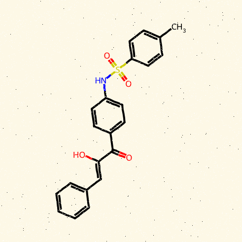 Cc1ccc(S(=O)(=O)Nc2ccc(C(=O)C(O)=Cc3ccccc3)cc2)cc1